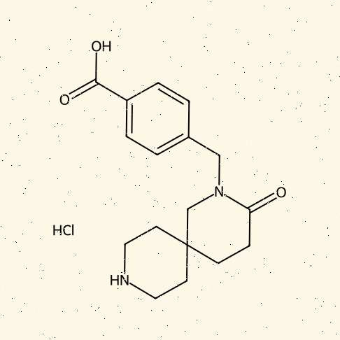 Cl.O=C(O)c1ccc(CN2CC3(CCNCC3)CCC2=O)cc1